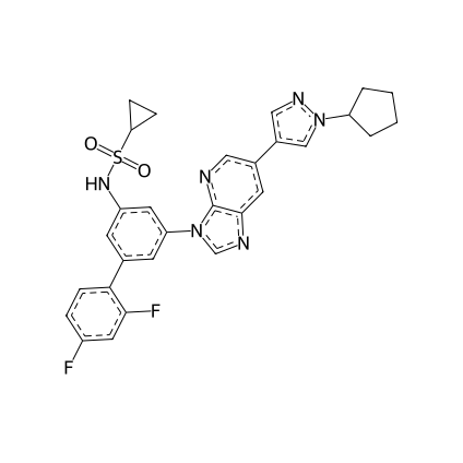 O=S(=O)(Nc1cc(-c2ccc(F)cc2F)cc(-n2cnc3cc(-c4cnn(C5CCCC5)c4)cnc32)c1)C1CC1